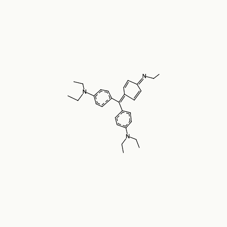 CCN=C1C=CC(=C(c2ccc(N(CC)CC)cc2)c2ccc(N(CC)CC)cc2)C=C1